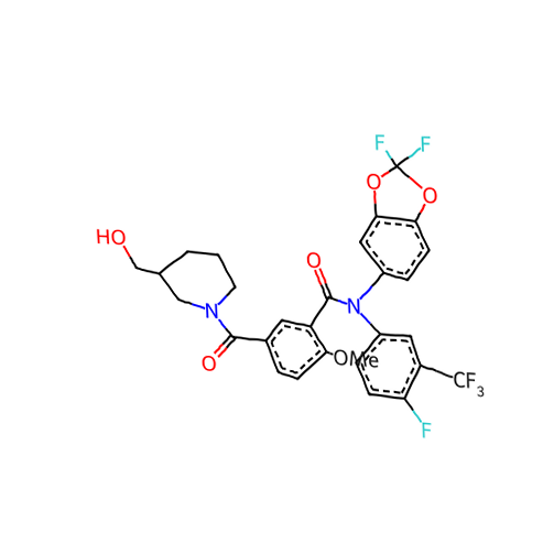 COc1ccc(C(=O)N2CCCC(CO)C2)cc1C(=O)N(c1ccc2c(c1)OC(F)(F)O2)c1ccc(F)c(C(F)(F)F)c1